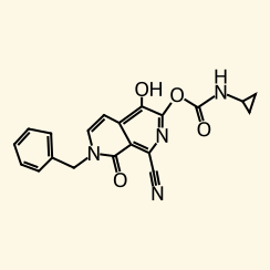 N#Cc1nc(OC(=O)NC2CC2)c(O)c2ccn(Cc3ccccc3)c(=O)c12